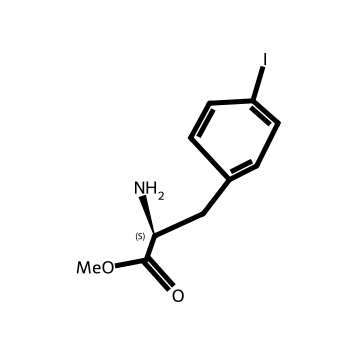 COC(=O)[C@@H](N)Cc1ccc(I)cc1